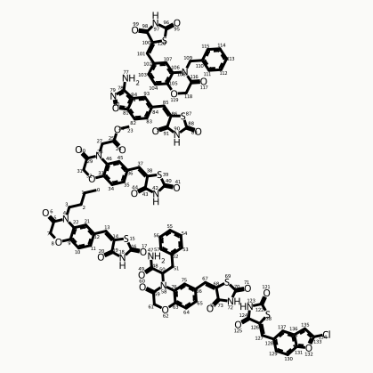 CCCCN1C(=O)COc2ccc(C=C3SC(=O)NC3=O)cc21.COC(=O)CN1C(=O)COc2ccc(C=C3SC(=O)NC3=O)cc21.NC(=O)C(Cc1ccccc1)N1C(=O)COc2ccc(C=C3SC(=O)NC3=O)cc21.Nc1noc2ccc(C=C3SC(=O)NC3=O)cc12.O=C1NC(=O)C(=Cc2ccc3c(c2)N(Cc2ccccc2)C(=O)CO3)S1.O=C1NC(=O)C(=Cc2ccc3oc(Cl)cc3c2)S1